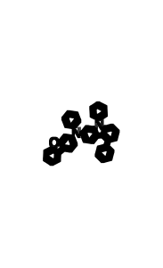 c1ccc(-c2cccc3c2c2ccc(N(c4ccccc4)c4ccc5c(c4)oc4ccccc45)cc2n3-c2ccccc2)cc1